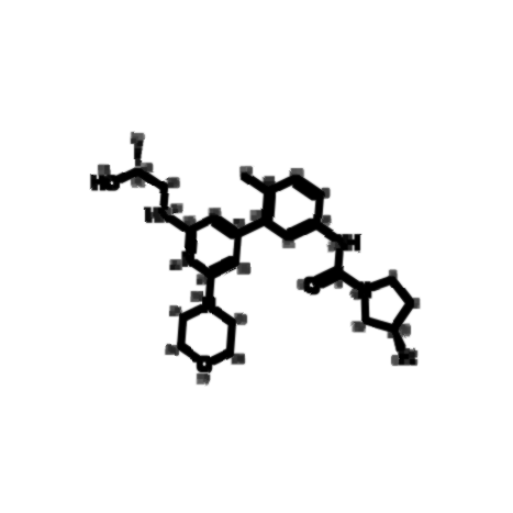 CC[C@@H]1CCN(C(=O)Nc2ccc(C)c(-c3cc(NC[C@@H](C)O)nc(N4CCOCC4)c3)c2)C1